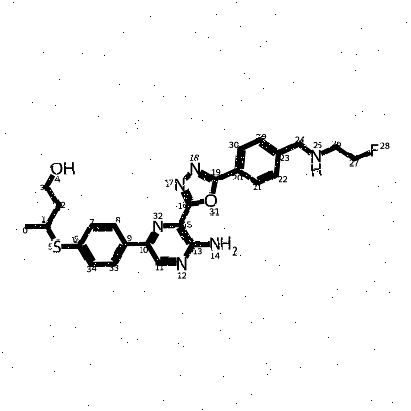 CC(CCO)Sc1ccc(-c2cnc(N)c(-c3nnc(-c4ccc(CNCCF)cc4)o3)n2)cc1